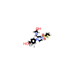 C[C@@](O)(c1ccc(N2CCN(S(=O)(=O)c3cccs3)C[C@@H]2CN2CC(O)C2)cc1)C(F)(F)F